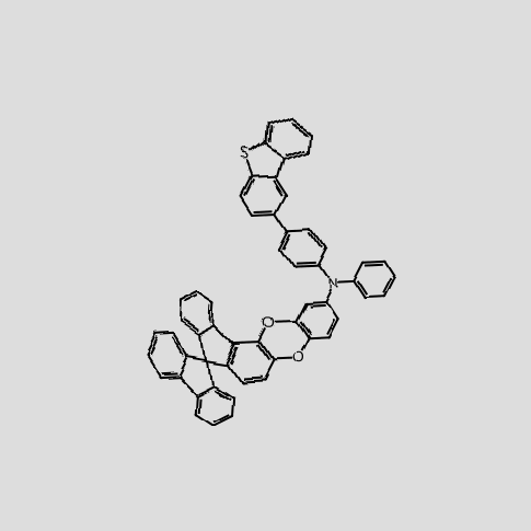 c1ccc(N(c2ccc(-c3ccc4sc5ccccc5c4c3)cc2)c2ccc3c(c2)Oc2c(ccc4c2-c2ccccc2C42c4ccccc4-c4ccccc42)O3)cc1